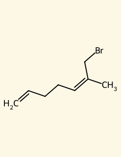 C=CCCC=C(C)CBr